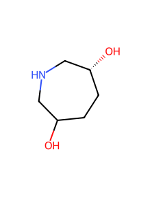 OC1CC[C@@H](O)CNC1